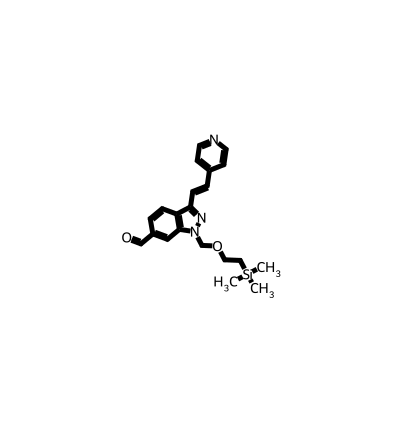 C[Si](C)(C)CCOCn1nc(/C=C/c2ccncc2)c2ccc(C=O)cc21